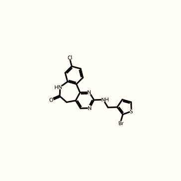 O=C1Cc2cnc(NCc3ccsc3Br)nc2-c2ccc(Cl)cc2N1